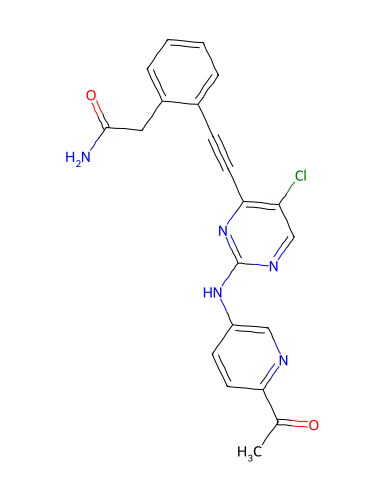 CC(=O)c1ccc(Nc2ncc(Cl)c(C#Cc3ccccc3CC(N)=O)n2)cn1